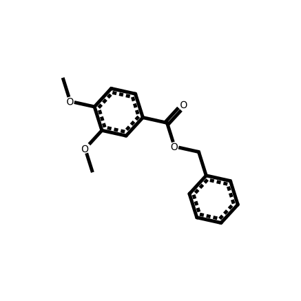 COc1ccc(C(=O)OCc2ccccc2)cc1OC